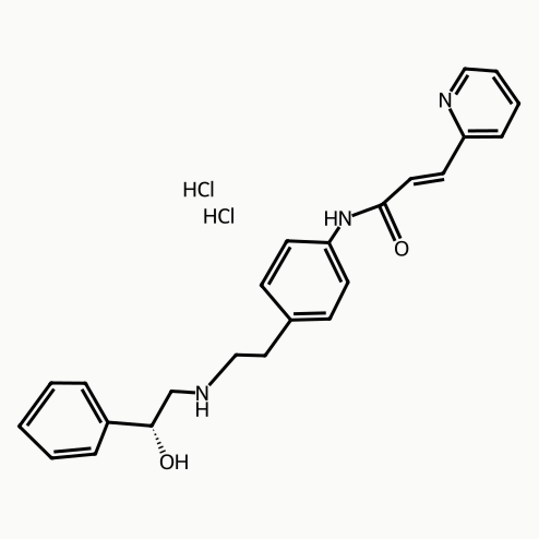 Cl.Cl.O=C(/C=C/c1ccccn1)Nc1ccc(CCNC[C@H](O)c2ccccc2)cc1